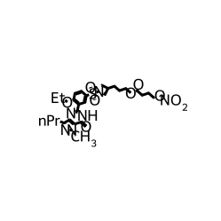 CCCc1nn(C)c2c(=O)[nH]c(-c3cc(S(=O)(=O)N4CC(CCCOC(=O)CCCO[N+](=O)[O-])C4)ccc3OCC)nc12